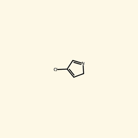 ClC1=CCN=C1